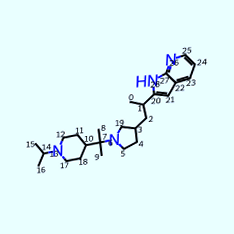 CC(CC1CCN(C(C)(C)C2CCN(C(C)C)CC2)C1)c1cc2cccnc2[nH]1